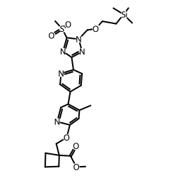 COC(=O)C1(COc2cc(C)c(-c3ccc(-c4nc(S(C)(=O)=O)n(COCC[Si](C)(C)C)n4)nc3)cn2)CCC1